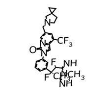 CN(C=N)C(=N)[C@H](F)[C@@](C)(F)c1cccc(-n2cc3c(C(F)(F)F)cc(CN4CCC5(CC5)C4)cn3c2=O)c1